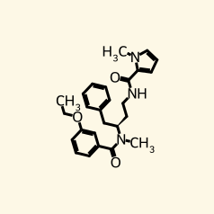 CCOc1cccc(C(=O)N(C)[C@H](CCNC(=O)c2cccn2C)Cc2ccccc2)c1